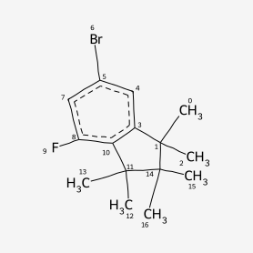 CC1(C)c2cc(Br)cc(F)c2C(C)(C)C1(C)C